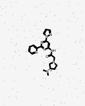 CN(C)[C@H]1CCN(CC(=O)Nc2cc(-n3cccn3)nc(-c3ccccn3)n2)C1